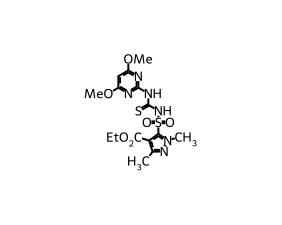 CCOC(=O)c1c(C)nn(C)c1S(=O)(=O)NC(=S)Nc1nc(OC)cc(OC)n1